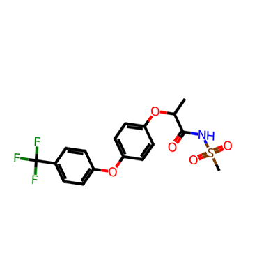 CC(Oc1ccc(Oc2ccc(C(F)(F)F)cc2)cc1)C(=O)NS(C)(=O)=O